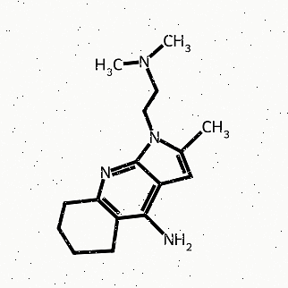 Cc1cc2c(N)c3c(nc2n1CCN(C)C)CCCC3